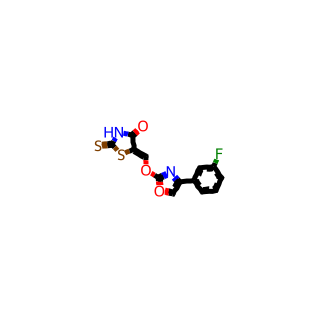 O=C1NC(=S)SC1=COc1nc(-c2cccc(F)c2)co1